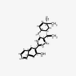 C=C(c1cnc(-c2cc3ccncc3cc2O)nn1)[C@H]1C[C@@](C)(CC)C=C[C@@H]1F